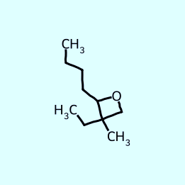 CCCCC1OCC1(C)CC